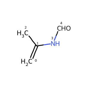 C=C(C)NC=O